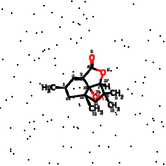 C[C@H]1C=C2C(=O)O[C@@H]3C(C)(C)C[C@](C)(C1)[C@]23O